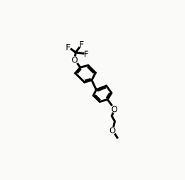 COCCOc1ccc(-c2ccc(OC(F)(F)F)cc2)cc1